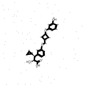 C[C@H](C(=O)O)[C@H](c1cccc(OCC2CC(Oc3cccc(O)c3)C2)c1)C1CC1